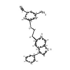 N#Cc1cc(N)nc(SCCc2cc3c(-c4ccccc4)csc3cn2)n1